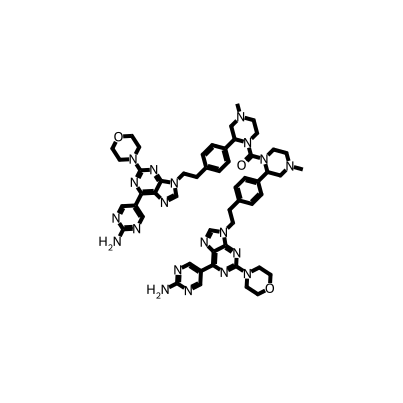 CN1CCN(C(=O)N2CCN(C)CC2c2ccc(CCn3cnc4c(-c5cnc(N)nc5)nc(N5CCOCC5)nc43)cc2)C(c2ccc(CCn3cnc4c(-c5cnc(N)nc5)nc(N5CCOCC5)nc43)cc2)C1